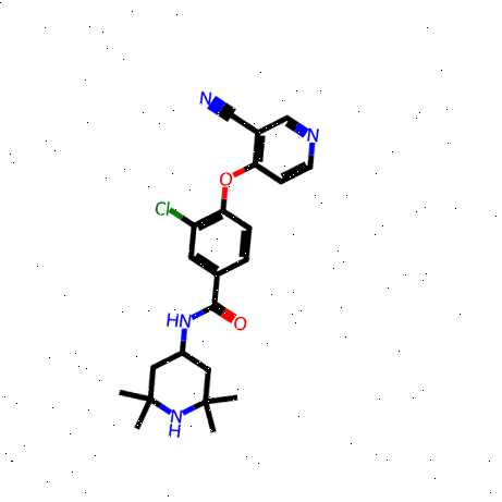 CC1(C)CC(NC(=O)c2ccc(Oc3ccncc3C#N)c(Cl)c2)CC(C)(C)N1